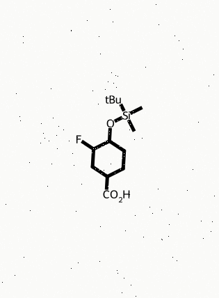 CC(C)(C)[Si](C)(C)OC1CCC(C(=O)O)CC1F